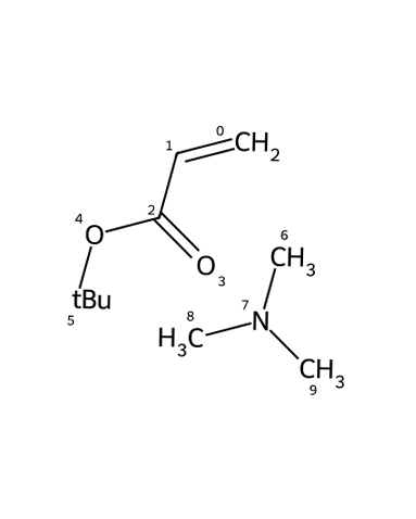 C=CC(=O)OC(C)(C)C.CN(C)C